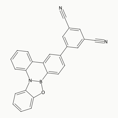 N#Cc1cc(C#N)cc(-c2ccc3c(c2)-c2ccccc2N2B3Oc3ccccc32)c1